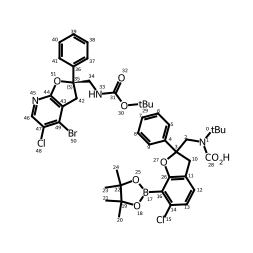 CC(C)(C)N(CC1(c2ccccc2)Cc2ccc(Cl)c(B3OC(C)(C)C(C)(C)O3)c2O1)C(=O)O.CC(C)(C)OC(=O)NC[C@@]1(c2ccccc2)Cc2c(ncc(Cl)c2Br)O1